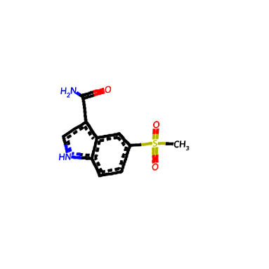 CS(=O)(=O)c1ccc2[nH]cc(C(N)=O)c2c1